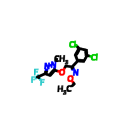 CCON=C(COc1cc(C(F)(F)F)nn1C)c1cc(Cl)cc(Cl)c1